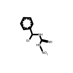 CCC(NC(=N)N[N+](=O)[O-])c1ccccc1